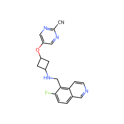 N#Cc1ncc(OC2CC(NCc3c(F)ccc4cnccc34)C2)cn1